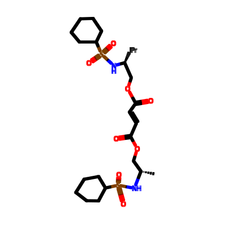 CC(C)[C@@H](COC(=O)/C=C/C(=O)OC[C@H](C)NS(=O)(=O)C1CCCCC1)NS(=O)(=O)C1CCCCC1